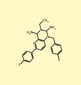 CCN1C(N)c2nc(-c3ccc(F)cc3)ccc2N(Cc2ccc(F)cc2)C1N